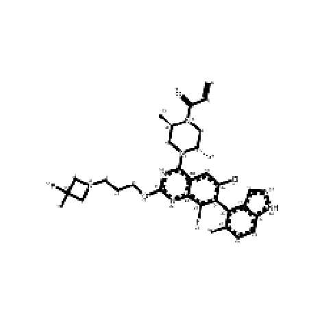 C=CC(=O)N1C[C@H](C)N(c2nc(OCCCN3CC(C)(F)C3)nc3c(F)c(-c4c(C)ccc5[nH]ncc45)c(Cl)cc23)C[C@H]1C